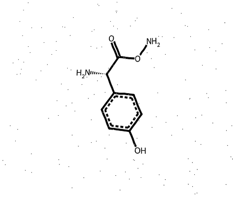 NOC(=O)[C@@H](N)c1ccc(O)cc1